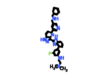 CN(C)CCNc1cc(F)cc(-c2cccc3[nH]c(-c4n[nH]c5ccc(-c6cncc(CNCc7ccccc7)c6)nc45)nc23)c1